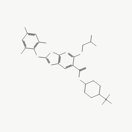 O=C(NC1CCC(C(F)(F)F)CC1)c1cc2nc(Nc3c(Cl)cc(F)cc3Cl)[nH]c2nc1OCC(F)F